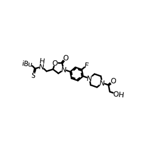 CCC(C)C(=S)NCC1CN(c2ccc(N3CCN(C(=O)CO)CC3)c(F)c2)C(=O)O1